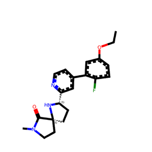 CCOc1ccc(F)c(-c2ccnc([C@@H]3CC[C@@]4(CCN(C)C4=O)N3)c2)c1